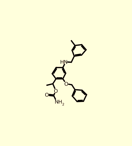 Cc1cccc(CNc2ccc(C(C)OC(N)=O)c(OCc3ccccc3)c2)c1